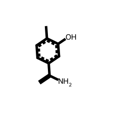 C=C(N)c1ccc(C)c(O)c1